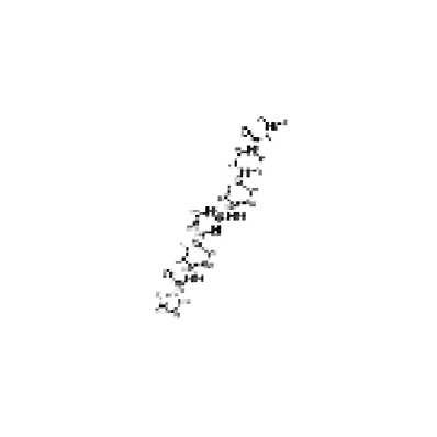 CN(C)CC(=O)N1CCN(c2ccc(Nc3nccc(-c4ccc(NC(=O)C5CCOC5)cc4)n3)cc2)CC1